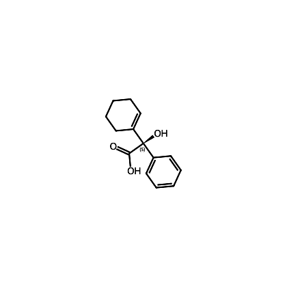 O=C(O)[C@](O)(C1=CCCCC1)c1ccccc1